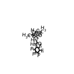 CC(C)O[Si](O)(CNC(=O)Nc1c(F)c(F)c(F)c(F)c1F)OC(C)C